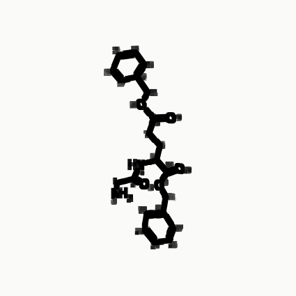 NCC(=O)NC(CCC(=O)OCc1ccccc1)C(=O)OCc1ccccc1